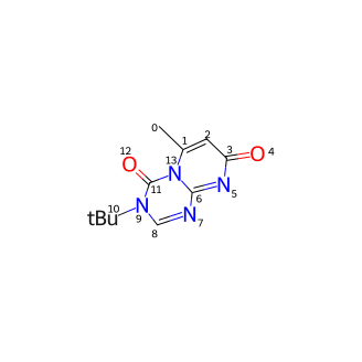 Cc1cc(=O)nc2ncn(C(C)(C)C)c(=O)n12